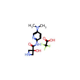 CN(C)c1ccc(NC(=O)C2(O)CNC2)nc1.O=C(O)C(F)(F)F